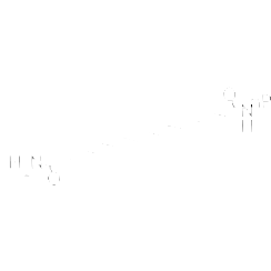 CCCNC(=O)CCCCCCCCCCCCCCCCC(N)=O